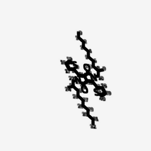 CCCCCCCCC(C)CN1C(=O)C2=C(c3cccs3)N(CC(C)CCCCCCCC)C(=O)C2=C1c1cccs1